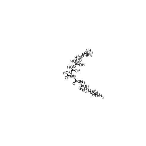 O.O.O.O.O.O.O=C(O)O.O=C(O)O.O=C(O)O.O=C(O)O.O=C(O)O.[AlH3].[AlH3].[AlH3].[CaH2].[MgH2].[MgH2].[MgH2]